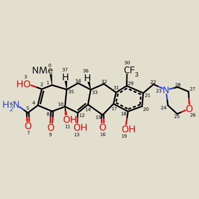 CN[C@@H]1C(O)=C(C(N)=O)C(=O)[C@@]2(O)C(O)=C3C(=O)c4c(O)cc(CN5CCOCC5)c(C(F)(F)F)c4C[C@H]3C[C@@H]12